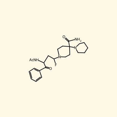 CC(=O)NC(CC(F)N1CCC(C(N)=O)(N2CCCCC2)CC1)C(=O)c1ccccc1